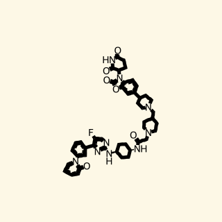 O=C1CCC(n2c(=O)oc3cc(C4CCN(CC5CCN(CC(=O)N[C@H]6CC[C@H](Nc7ncc(F)c(-c8cccc(-n9ccccc9=O)c8)n7)CC6)CC5)CC4)ccc32)C(=O)N1